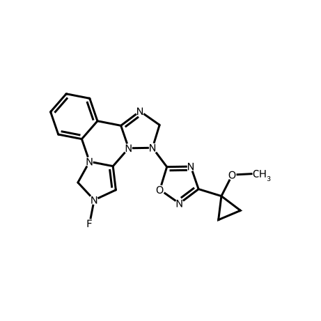 COC1(c2noc(N3CN=C4c5ccccc5N5CN(F)C=C5N43)n2)CC1